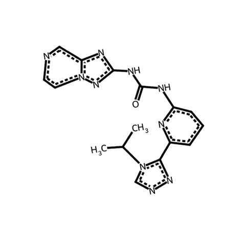 CC(C)n1cnnc1-c1cccc(NC(=O)Nc2nc3cnccn3n2)n1